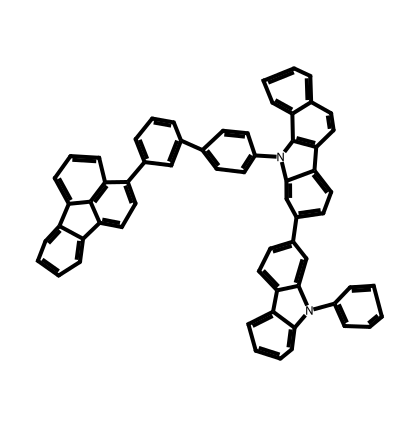 c1ccc(-n2c3ccccc3c3ccc(-c4ccc5c6ccc7ccccc7c6n(-c6ccc(-c7cccc(-c8ccc9c%10c(cccc8%10)-c8ccccc8-9)c7)cc6)c5c4)cc32)cc1